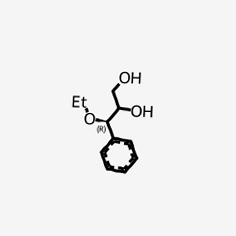 CCO[C@H](c1ccccc1)C(O)CO